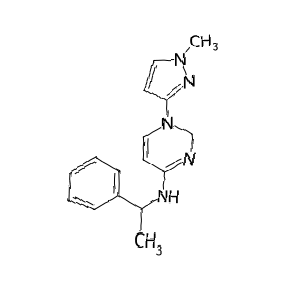 CC(NC1=NCN(c2ccn(C)n2)C=C1)c1ccccc1